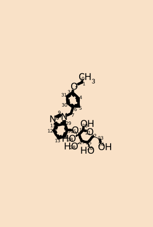 CCOc1ccc(Cn2cnc3cccc(O[C@]4(O)C(O)O[C@H](CO)[C@@H](O)[C@@H]4O)c32)cc1